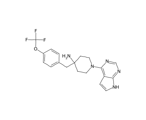 NC1(Cc2ccc(OC(F)(F)F)cc2)CCN(c2ncnc3[nH]ccc23)CC1